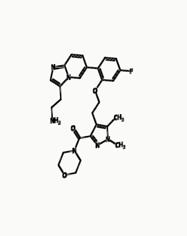 Cc1c(CCOc2cc(F)ccc2-c2ccc3ncc(CCN)n3c2)c(C(=O)N2CCOCC2)nn1C